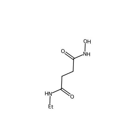 CCNC(=O)CCC(=O)NO